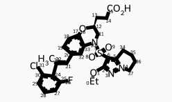 CCOc1nn2c(c1S(=O)(=O)N1C[C@H](CCC(=O)O)Oc3ccc(C=C(C)c4c(F)cccc4Cl)cc31)CCCC2